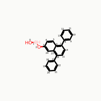 OBOc1ccc2c(-c3ccccc3)ccc(-c3ccccc3)c2c1